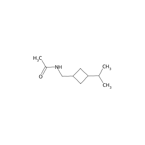 CC(=O)NCC1CC(C(C)C)C1